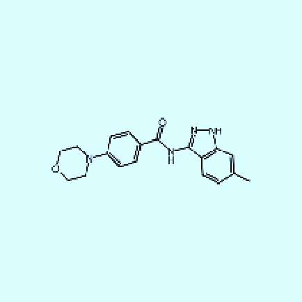 Cc1ccc2c(NC(=O)c3ccc(N4CCOCC4)cc3)n[nH]c2c1